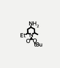 CCC1CC(N)CC(C)N1C(=O)OC(C)(C)C